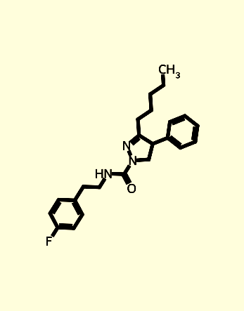 CCCCCC1=NN(C(=O)NCCc2ccc(F)cc2)CC1c1ccccc1